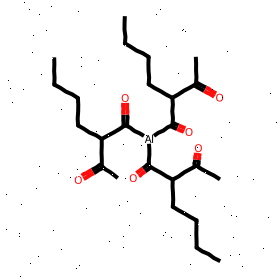 CCCCC(C(C)=O)[C](=O)[Al]([C](=O)C(CCCC)C(C)=O)[C](=O)C(CCCC)C(C)=O